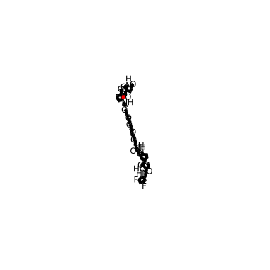 O=C1CCC(N2C(=O)c3cccc(NCCOCCOCCOCCOCCOCCNC(=O)c4cc5cc(N6CCC(O)(C(=O)NCc7cc(F)cc(F)c7)C6=O)ccc5[nH]4)c3C2=O)C(=O)N1